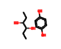 CCC(O)C(O)CC.Oc1ccc(O)cc1